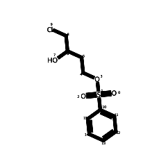 O=S(=O)(OCCC(O)CCl)c1ccccc1